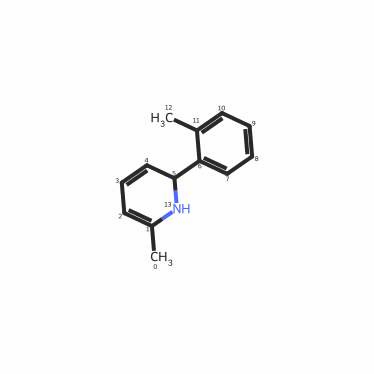 CC1=CC=CC(c2ccccc2C)N1